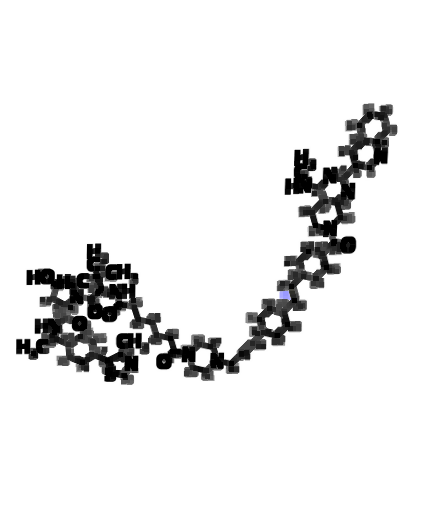 CNc1nc(-c2cnc3ccccc3c2)nc2c1CCN(C(=O)c1ccc(/C=C/c3ccc(C#CCN4CCN(C(=O)CCCCCC(=O)N[C@H](C(=O)N5C[C@H](O)C[C@H]5C(=O)N[C@@H](C)c5ccc(-c6scnc6C)cc5)C(C)(C)C)CC4)cc3)cc1)C2